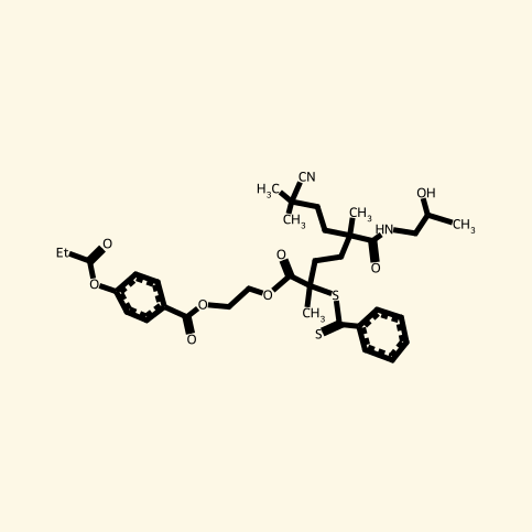 CCC(=O)Oc1ccc(C(=O)OCCOC(=O)C(C)(CCC(C)(CCC(C)(C)C#N)C(=O)NCC(C)O)SC(=S)c2ccccc2)cc1